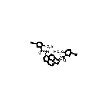 C#Cc1ccc(C(=O)O)c(C(=O)Nc2ccc3ccc4ccc(NC(=O)c5cc(C#C)ccc5C(=O)O)c5ccc2c3c45)c1